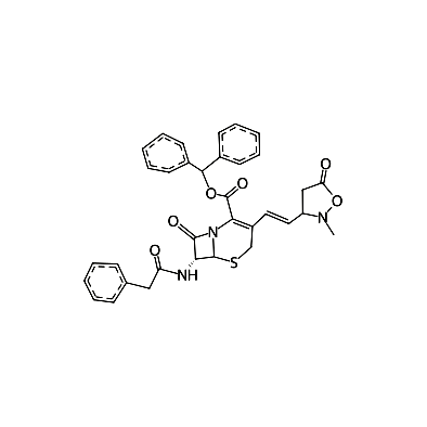 CN1OC(=O)CC1/C=C/C1=C(C(=O)OC(c2ccccc2)c2ccccc2)N2C(=O)[C@@H](NC(=O)Cc3ccccc3)C2SC1